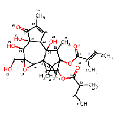 C/C=C(\C)C(=O)OC12C(OC(=O)C(C)CC)CC3(C4OC4(CO)C(O)C4(O)C(=O)C(C)=CC4C3(O)C1C)C2(C)C